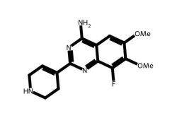 COc1cc2c(N)nc(C3=CCNCC3)nc2c(F)c1OC